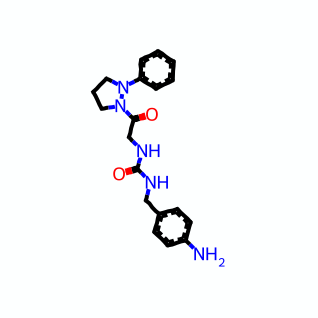 Nc1ccc(CNC(=O)NCC(=O)N2CCCN2c2ccccc2)cc1